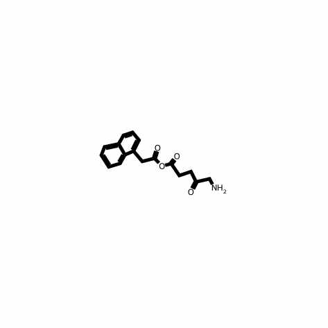 NCC(=O)CCC(=O)OC(=O)Cc1cccc2ccccc12